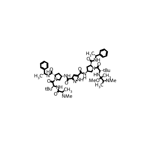 CN[C@@H](C)C(=O)N[C@H](C(=O)N1C[C@@H](NC(=O)c2cc(C(=O)N[C@H]3C[C@@H](C(=O)N[C@H](C)c4ccccc4)N(C(=O)[C@@H](NC(C)(OC)[C@H](C)NC)C(C)(C)C)C3)[nH]n2)C[C@H]1C(=O)N[C@H](C)c1ccccc1)C(C)(C)C